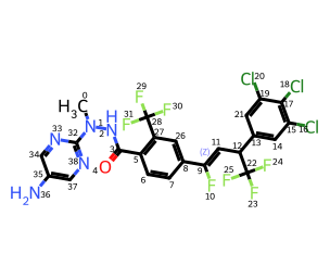 CN(NC(=O)c1ccc(/C(F)=C/C(c2cc(Cl)c(Cl)c(Cl)c2)C(F)(F)F)cc1C(F)(F)F)c1ncc(N)cn1